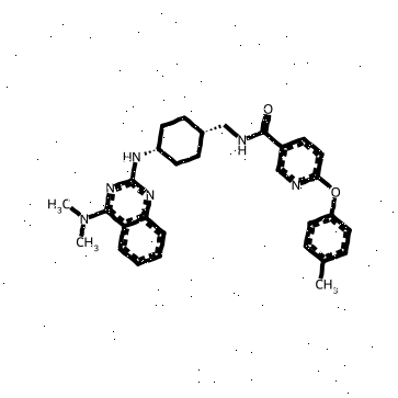 Cc1ccc(Oc2ccc(C(=O)NC[C@H]3CC[C@@H](Nc4nc(N(C)C)c5ccccc5n4)CC3)cn2)cc1